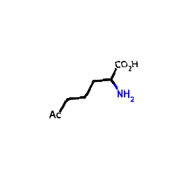 CC(=O)CCCC(N)C(=O)O